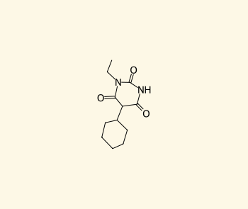 CCN1C(=O)NC(=O)C(C2CCCCC2)C1=O